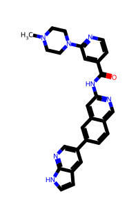 CN1CCN(c2cc(C(=O)Nc3cc4cc(-c5cnc6[nH]ccc6c5)ccc4cn3)ccn2)CC1